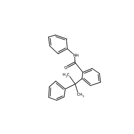 CC(C)(c1ccccc1)c1ccccc1C(=O)Nc1[c]cccc1